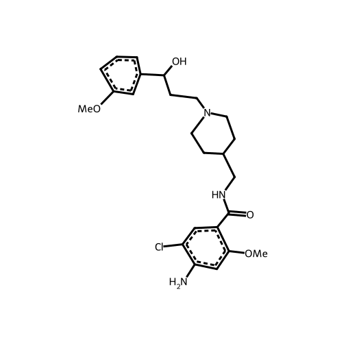 COc1cccc(C(O)CCN2CCC(CNC(=O)c3cc(Cl)c(N)cc3OC)CC2)c1